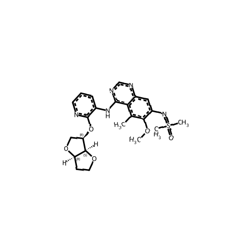 COc1c(N=S(C)(C)=O)cc2ncnc(Nc3cccnc3O[C@@H]3CO[C@@H]4CCO[C@@H]43)c2c1C